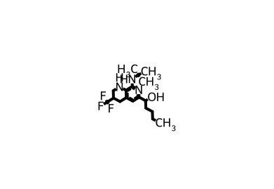 CCCCC(O)c1cc2c(c(NC(C)(C)C)n1)NCC(C(F)(F)F)C2